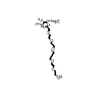 CCCCCCCC(OC(O)COCCOCCOCCOCCOCCO)=C(C)CCCCCC